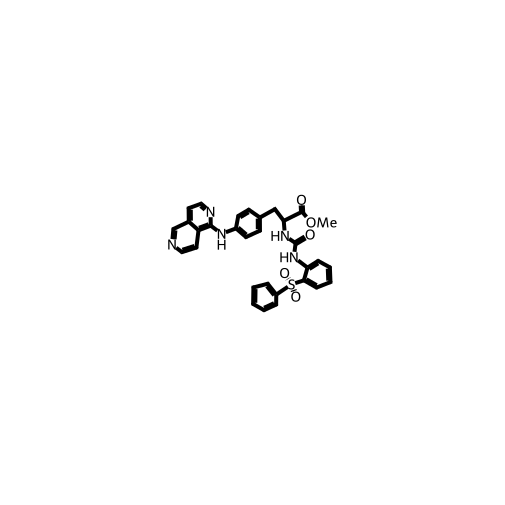 COC(=O)C(Cc1ccc(Nc2nccc3cnccc23)cc1)NC(=O)Nc1ccccc1S(=O)(=O)c1ccccc1